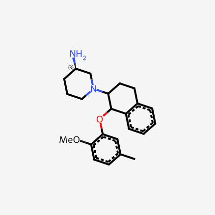 COc1ccc(C)cc1OC1c2ccccc2CCC1N1CCC[C@@H](N)C1